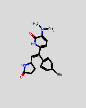 CN(C)c1ccc(C(=C[C@H]2CCC(=O)N2)c2ccc(C(C)(C)C)cc2)[nH]c1=O